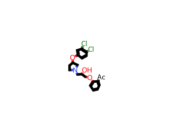 CC(=O)c1ccccc1OCC(O)CN1CCC(Oc2ccc(Cl)c(Cl)c2)C1